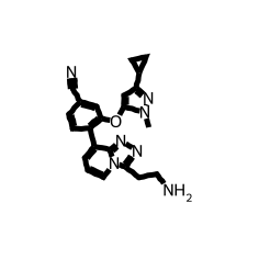 Cn1nc(C2CC2)cc1Oc1cc(C#N)ccc1-c1cccn2c(CCN)nnc12